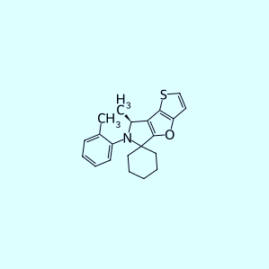 Cc1ccccc1N1[C@@H](C)c2c(oc3ccsc23)C12CCCCC2